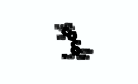 COc1cc(CC(=O)c2ccc3c(c2)C(O)CC(C)(C)O3)cc(OC)c1OC